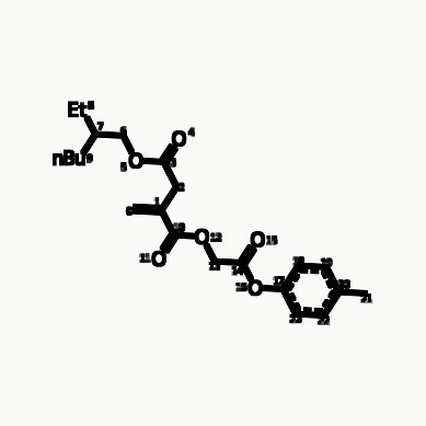 C=C(CC(=O)OCC(CC)CCCC)C(=O)OCC(=O)Oc1ccc(C)cc1